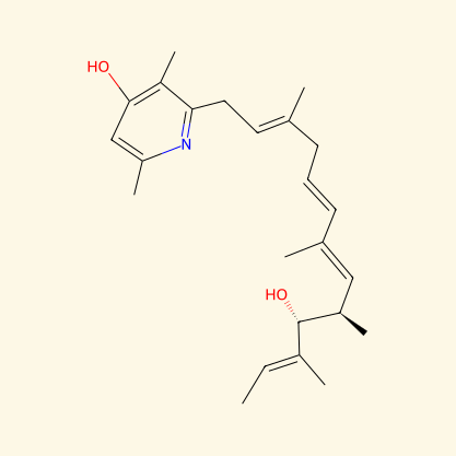 C/C=C(\C)[C@H](O)[C@H](C)/C=C(C)/C=C/C/C(C)=C/Cc1nc(C)cc(O)c1C